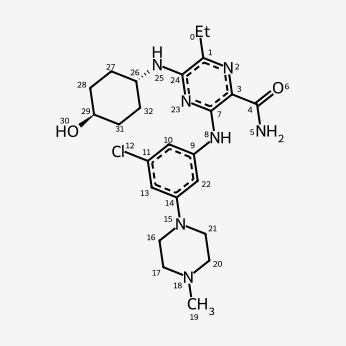 CCc1nc(C(N)=O)c(Nc2cc(Cl)cc(N3CCN(C)CC3)c2)nc1N[C@H]1CC[C@H](O)CC1